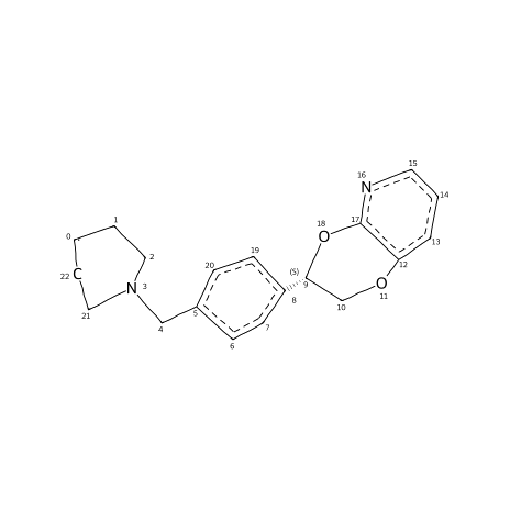 [CH]1CCN(Cc2ccc([C@H]3COc4cccnc4O3)cc2)CC1